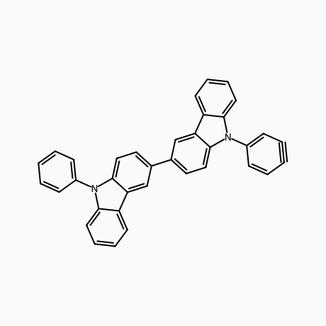 c1ccc(-n2c3ccccc3c3cc(-c4ccc5c(c4)c4ccccc4n5-c4ccccc4)ccc32)cc#1